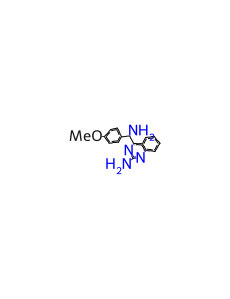 COc1ccc(C(N)c2nc(N)nc3ccccc23)cc1